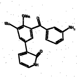 COc1c(C(=O)c2cccc(N)c2)cc(-c2ccc[nH]c2=O)cc1C(C)(C)C